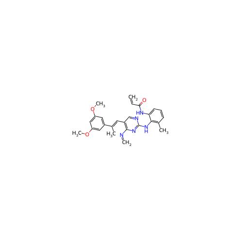 C=CC(=O)Nc1cccc(C)c1Nc1ncc(/C=C(\C)c2cc(OC)cc(OC)c2)c(N=C)n1